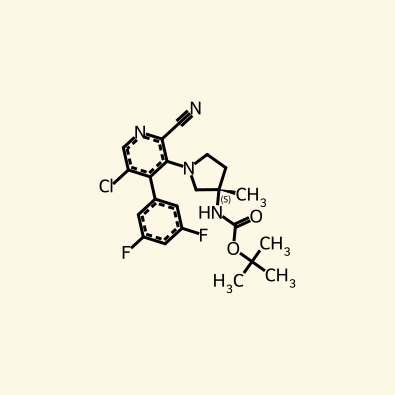 CC(C)(C)OC(=O)N[C@@]1(C)CCN(c2c(C#N)ncc(Cl)c2-c2cc(F)cc(F)c2)C1